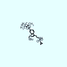 CC(C)(C)Cn1cc(CCNS(=O)(=O)C2CC2)c2ccc(B3OC(C)(C)C(C)(C)O3)cc21